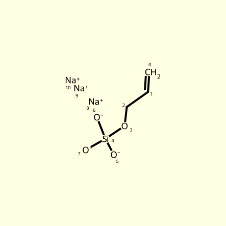 C=CCO[Si]([O-])([O-])[O-].[Na+].[Na+].[Na+]